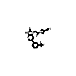 N#CC1CN(C(=O)Cn2c(=O)[nH]c3ncc(-c4cccc(C(F)(F)F)c4)cc32)C1